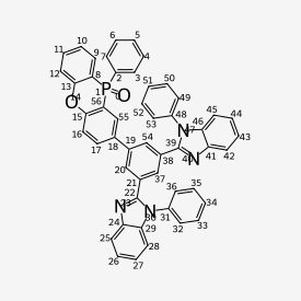 O=P1(c2ccccc2)c2ccccc2Oc2ccc(-c3cc(-c4nc5ccccc5n4-c4ccccc4)cc(-c4nc5ccccc5n4-c4ccccc4)c3)cc21